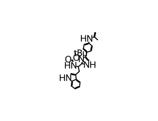 C=C(C)Nc1ccc(-c2c[nH]c(C(Cc3c[nH]c4ccccc34)NC(=O)OC(C)(C)C)n2)cc1